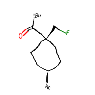 CC(=O)[C@H]1CC[C@](CF)(C(=O)C(C)(C)C)CC1